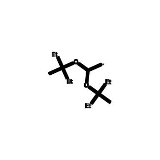 [CH2]C(OC(C)(CC)CC)OC(C)(CC)CC